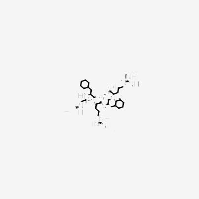 CC(=O)NCC(=O)NC(CC1CCCCC1)C(=O)NC(CCCNC(=N)N)C(=O)N[C@H](CC1CCCCC1)C(=O)NC(CCCNC(=N)N)C(=O)O